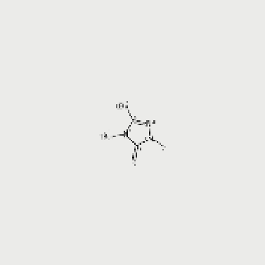 C=C1N(C)N=C(C(C)(C)C)N1C(C)(C)C